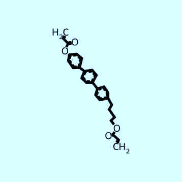 C=CC(=O)OCCCCc1ccc(-c2ccc(-c3ccc(OC(=O)C=C)cc3)cc2)cc1